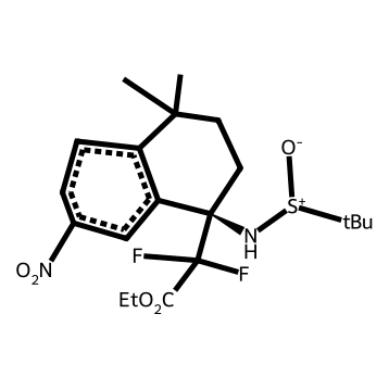 CCOC(=O)C(F)(F)[C@@]1(N[S+]([O-])C(C)(C)C)CCC(C)(C)c2ccc([N+](=O)[O-])cc21